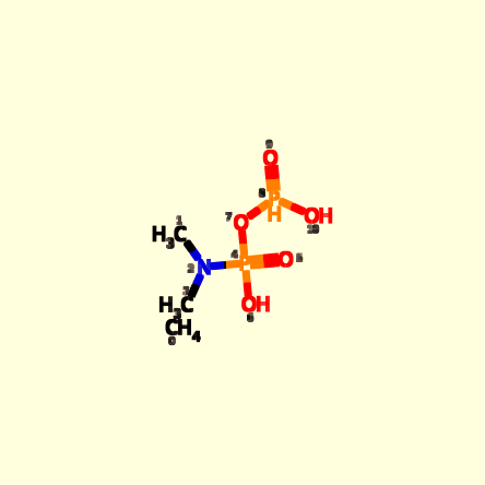 C.CN(C)P(=O)(O)O[PH](=O)O